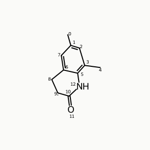 Cc1cc(C)c2c(c1)C[CH]C(=O)N2